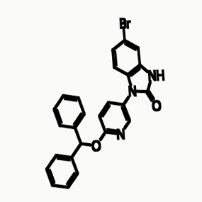 O=c1[nH]c2cc(Br)ccc2n1-c1ccc(OC(c2ccccc2)c2ccccc2)nc1